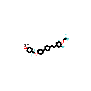 CCCOC1CCC(C(F)(F)Oc2ccc(C3CCC(/C=C/c4cc(F)c(OC=C(F)F)c(F)c4)CC3)cc2)CC1